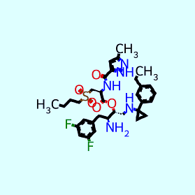 CCCCS(=O)(=O)C[C@@H](NC(=O)c1cc(C)n[nH]1)C(=O)O[C@H](CNC1(c2cccc(CC)c2)CC1)[C@@H](N)Cc1cc(F)cc(F)c1